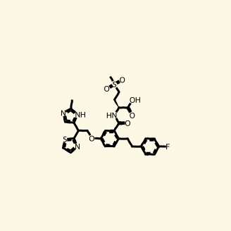 Cc1ncc(C(COc2ccc(CCc3ccc(F)cc3)c(C(=O)N[C@@H](CCS(C)(=O)=O)C(=O)O)c2)c2nccs2)[nH]1